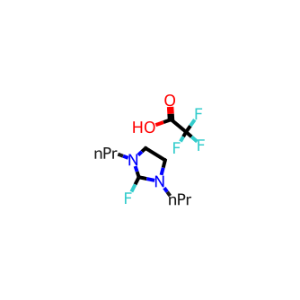 CCCN1CCN(CCC)C1F.O=C(O)C(F)(F)F